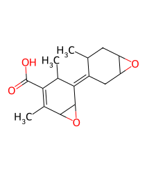 CC1=C(C(=O)O)C(C)C(=C2CC3OC3CC2C)C2OC12